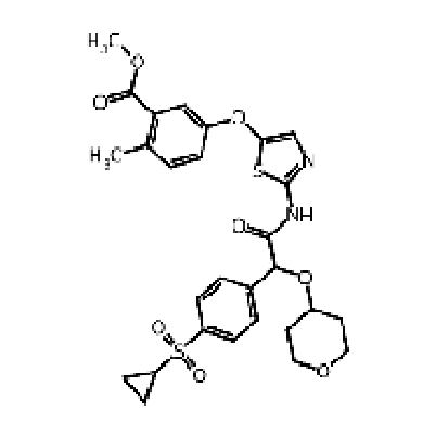 COC(=O)c1cc(Oc2cnc(NC(=O)C(OC3CCOCC3)c3ccc(S(=O)(=O)C4CC4)cc3)s2)ccc1C